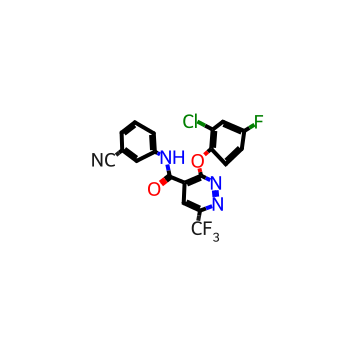 N#Cc1cccc(NC(=O)c2cc(C(F)(F)F)nnc2Oc2ccc(F)cc2Cl)c1